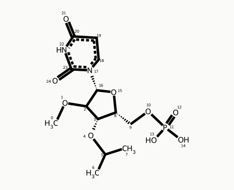 COC1[C@@H](OC(C)C)[C@@H](COP(=O)(O)O)O[C@H]1n1ccc(=O)[nH]c1=O